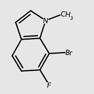 Cn1ccc2ccc(F)c(Br)c21